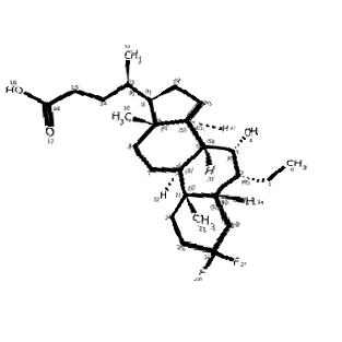 CC[C@H]1[C@@H](O)[C@@H]2[C@H](CC[C@]3(C)[C@@H]([C@H](C)CCC(=O)O)CC[C@@H]23)[C@@]2(C)CCC(F)(F)C[C@@H]12